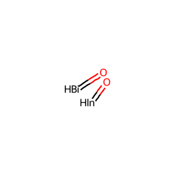 [O]=[BiH].[O]=[InH]